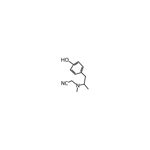 CC(Cc1ccc(O)cc1)N(C)CC#N